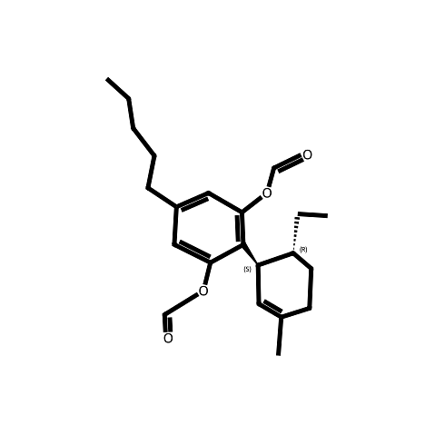 CCCCCc1cc(OC=O)c([C@@H]2C=C(C)CC[C@H]2CC)c(OC=O)c1